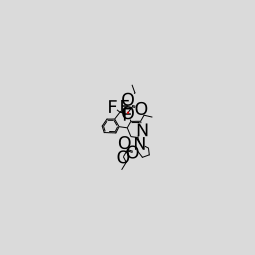 CCOC(=O)OC1=C(CC)N=C(N2CCCC2)C(OC(=O)OCC)C1c1ccccc1C(F)(F)F